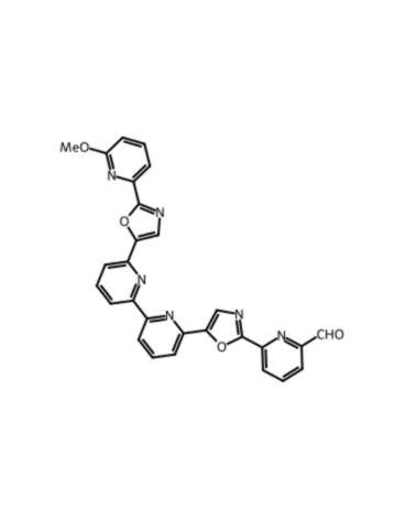 COc1cccc(-c2ncc(-c3cccc(-c4cccc(-c5cnc(-c6cccc(C=O)n6)o5)n4)n3)o2)n1